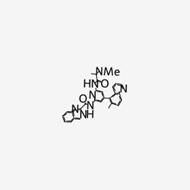 CNC(C)C(=O)Nc1cc(-c2c(C)ccc3ncccc23)cc(NC(=O)c2ncc3ccccc3n2)n1